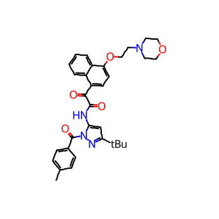 Cc1ccc(C(=O)n2nc(C(C)(C)C)cc2NC(=O)C(=O)c2ccc(OCCN3CCOCC3)c3ccccc23)cc1